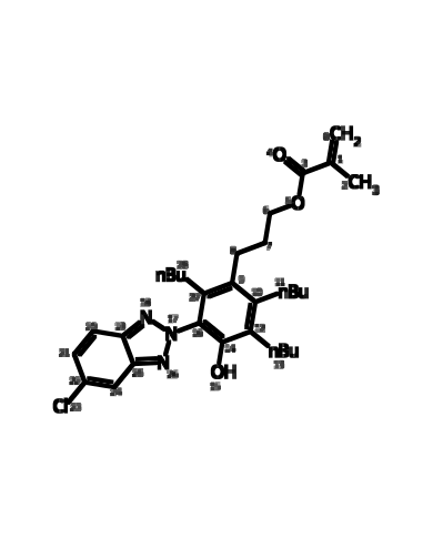 C=C(C)C(=O)OCCCc1c(CCCC)c(CCCC)c(O)c(-n2nc3ccc(Cl)cc3n2)c1CCCC